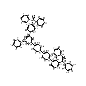 O=P(c1ccccc1)(c1ccccc1)c1ccc(-c2nc(-c3ccccc3)nc(-c3ccc(-c4ccc(-c5cccc6c(-c7ccccc7)nc7ccccc7c56)cc4)cc3)n2)cc1